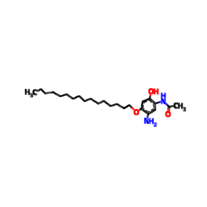 CCCCCCCCCCCCCCCCOc1cc(O)c(NC(C)=O)cc1N